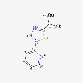 CCC(c1nnc(-c2ccccn2)s1)C(C)(C)C